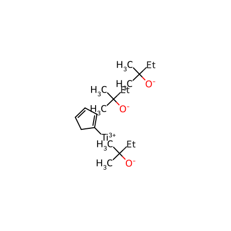 CCC(C)(C)[O-].CCC(C)(C)[O-].CCC(C)(C)[O-].[Ti+3][C]1=CC=CC1